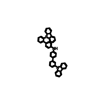 C1=CC2c3ccccc3N(c3ccccc3-c3ccc(Nc4ccc(-c5cccc(-n6c7ccccc7c7ccccc76)c5)cc4)cc3)C2C=C1